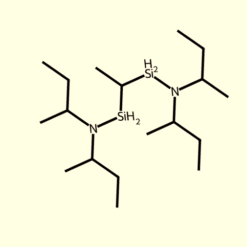 CCC(C)N([SiH2]C(C)[SiH2]N(C(C)CC)C(C)CC)C(C)CC